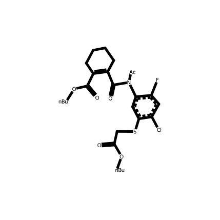 CCCCOC(=O)CSc1cc(N(C(C)=O)C(=O)C2=C(C(=O)OCCCC)CCCC2)c(F)cc1Cl